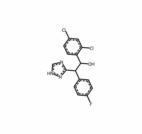 OC(c1ccc(Cl)cc1Cl)C(c1ccc(F)cc1)c1nc[nH]n1